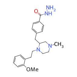 COc1ccccc1CCN1CCN(C)CC1Cc1ccc(C(=O)NN)cc1